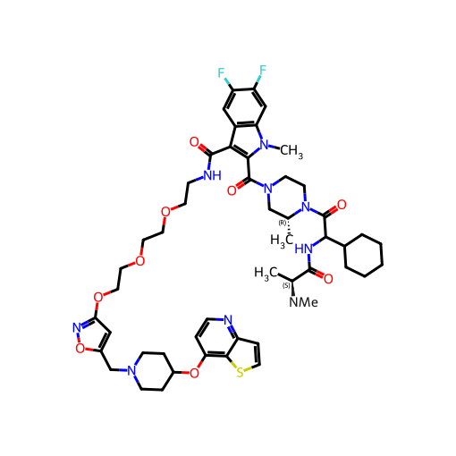 CN[C@@H](C)C(=O)NC(C(=O)N1CCN(C(=O)c2c(C(=O)NCCOCCOCCOc3cc(CN4CCC(Oc5ccnc6ccsc56)CC4)on3)c3cc(F)c(F)cc3n2C)C[C@H]1C)C1CCCCC1